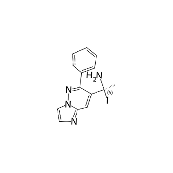 C[C@](N)(I)c1cc2nccn2nc1-c1ccccc1